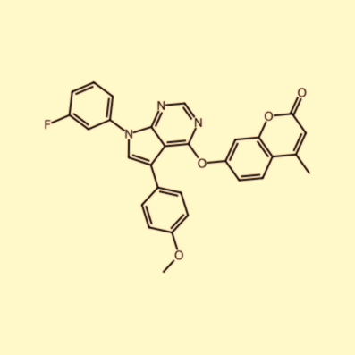 COc1ccc(-c2cn(-c3cccc(F)c3)c3ncnc(Oc4ccc5c(C)cc(=O)oc5c4)c23)cc1